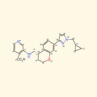 O=C(O)c1ccncc1NC[C@H]1CCOc2cc(-c3ccn(CC4CC4)n3)ccc21